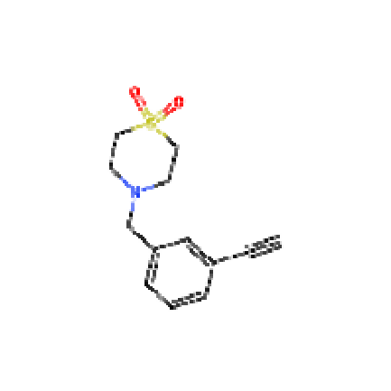 C#Cc1cccc(CN2CCS(=O)(=O)CC2)c1